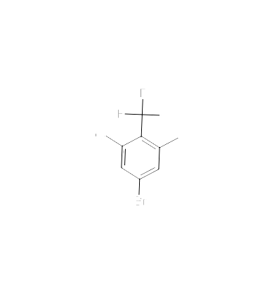 Cc1cc(Br)cc(Cl)c1C(F)(F)F